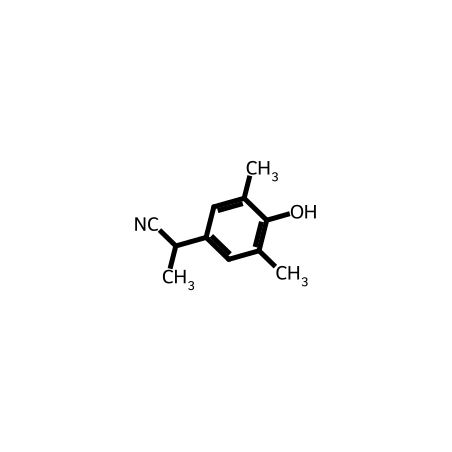 Cc1cc(C(C)C#N)cc(C)c1O